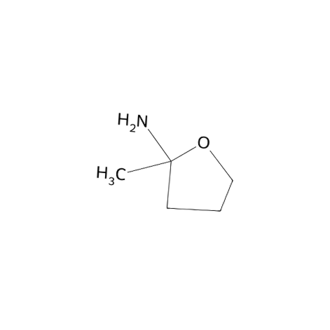 CC1(N)CCCO1